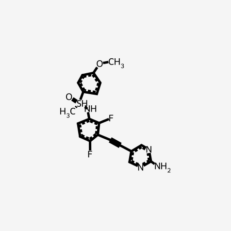 COc1ccc([SH](C)(=O)Nc2ccc(F)c(C#Cc3cnc(N)nc3)c2F)cc1